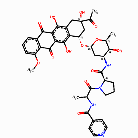 COc1cccc2c1C(=O)c1c(O)c3c(c(O)c1C2=O)C[C@@](O)(C(C)=O)C[C@@H]3O[C@H]1C[C@H](NC(=O)[C@H]2CCCN2C(=O)C(C)NC(=O)c2ccncc2)[C@H](O)[C@H](C)O1